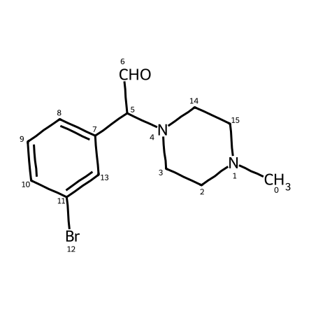 CN1CCN(C(C=O)c2cccc(Br)c2)CC1